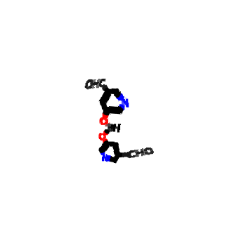 O=Cc1cncc(OBOc2cncc(C=O)c2)c1